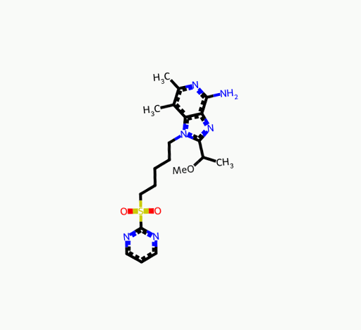 COC(C)c1nc2c(N)nc(C)c(C)c2n1CCCCCS(=O)(=O)c1ncccn1